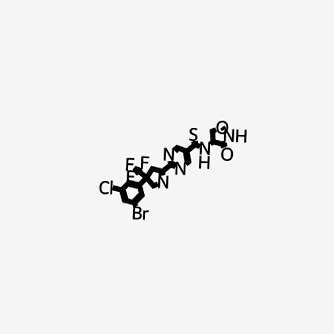 O=C1NOCC1NC(=S)c1cnc(C2=NCC(c3cc(Cl)cc(Br)c3)(C(F)(F)F)C2)nc1